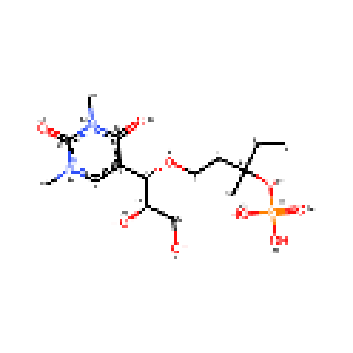 CCC(C)(CCO[C@@H](c1cn(C)c(=O)n(C)c1=O)[C@H](O)CO)OP(=O)(O)O